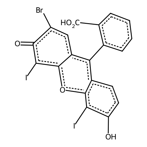 O=C(O)c1ccccc1-c1c2cc(Br)c(=O)c(I)c-2oc2c(I)c(O)ccc12